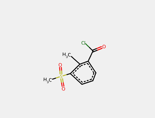 Cc1c(C(=O)Cl)cccc1S(C)(=O)=O